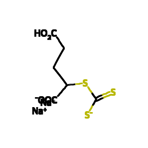 O=C(O)CCC(SC(=S)[S-])C(=O)[O-].[Na+].[Na+]